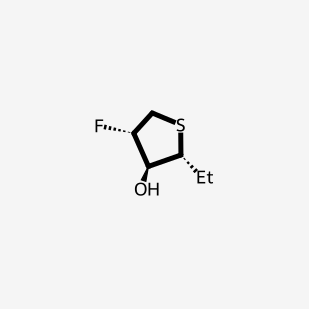 CC[C@H]1SC[C@@H](F)[C@@H]1O